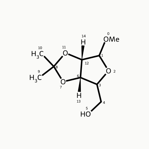 COC1OC(CO)[C@@H]2OC(C)(C)O[C@H]12